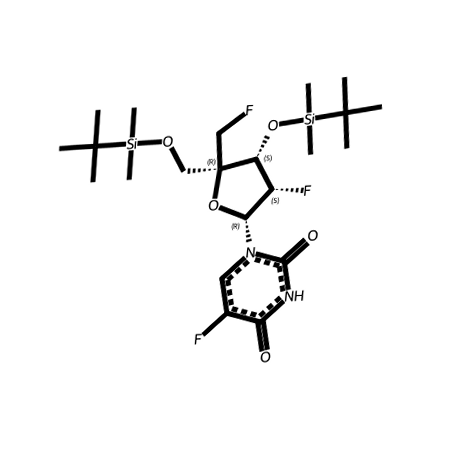 CC(C)(C)[Si](C)(C)OC[C@@]1(CF)O[C@@H](n2cc(F)c(=O)[nH]c2=O)[C@@H](F)[C@H]1O[Si](C)(C)C(C)(C)C